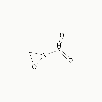 O=[SH](=O)N1CO1